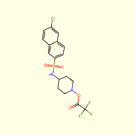 O=C(ON1CCC(NS(=O)(=O)c2ccc3cc(Cl)ccc3c2)CC1)C(F)(F)F